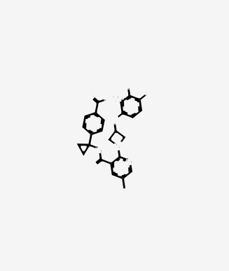 COC(=O)c1ccc(C2(NC(=O)c3cc(C)cnc3N3CC(Oc4ccc(F)c(C(F)(F)F)c4)C3)CC2)cc1